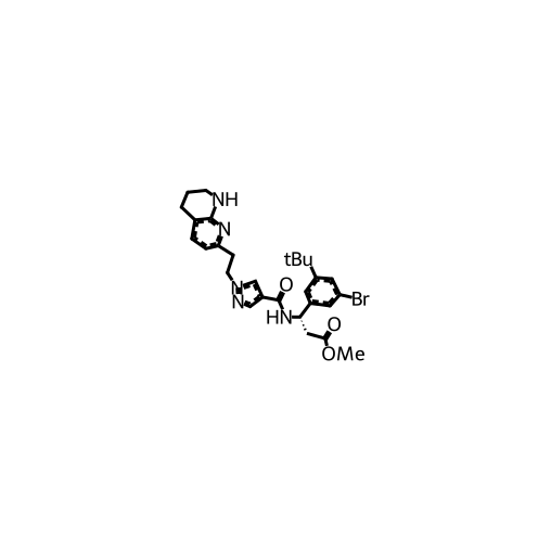 COC(=O)C[C@H](NC(=O)c1cnn(CCc2ccc3c(n2)NCCC3)c1)c1cc(Br)cc(C(C)(C)C)c1